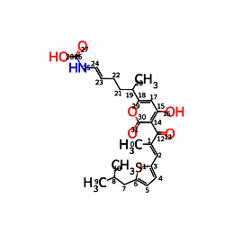 C/C(=C\c1ccc(CC(C)C)s1)C(=O)c1c(O)cc(C(C)CC/C=C/NC(=O)O)oc1=O